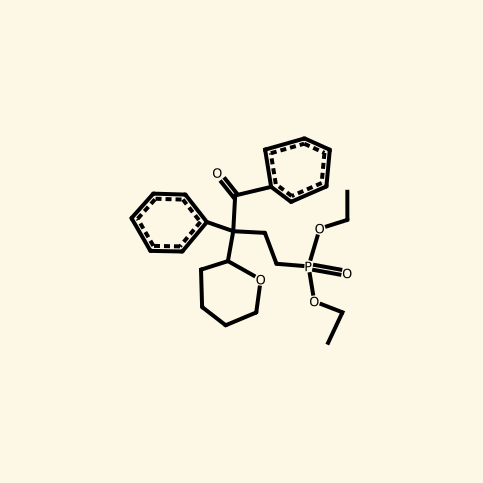 CCOP(=O)(CCC(C(=O)c1ccccc1)(c1ccccc1)C1CCCCO1)OCC